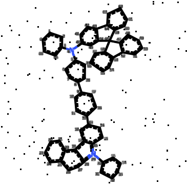 c1ccc(N(c2ccc(-c3ccc(-c4ccc5c(c4)c4c6ccccc6ccc4n5-c4ccccc4)cc3)cc2)c2ccc3c(c2)C2(c4ccccc4-c4ccccc42)c2ccccc2-3)cc1